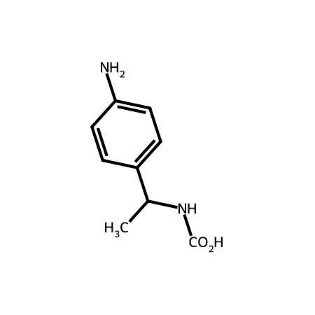 CC(NC(=O)O)c1ccc(N)cc1